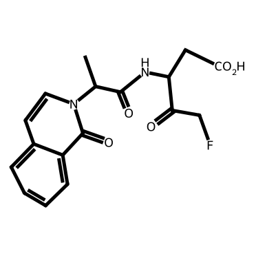 CC(C(=O)NC(CC(=O)O)C(=O)CF)n1ccc2ccccc2c1=O